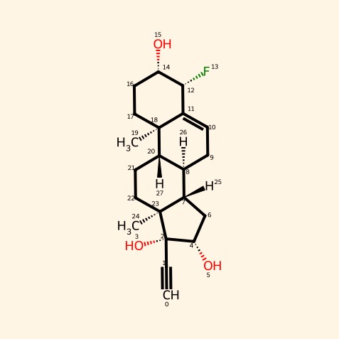 C#C[C@]1(O)[C@@H](O)C[C@H]2[C@@H]3CC=C4[C@@H](F)[C@@H](O)CC[C@]4(C)[C@H]3CC[C@@]21C